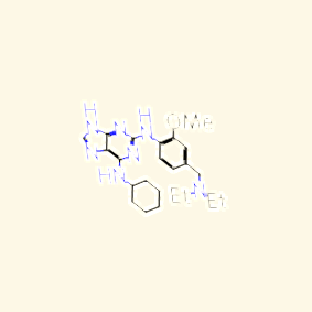 CCN(CC)Cc1ccc(Nc2nc(NC3CCCCC3)c3nc[nH]c3n2)c(OC)c1